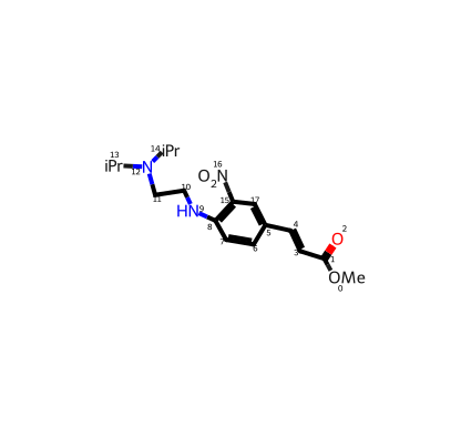 COC(=O)C=Cc1ccc(NCCN(C(C)C)C(C)C)c([N+](=O)[O-])c1